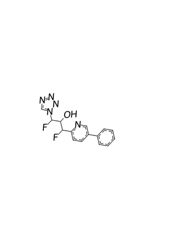 OC(C(F)c1ccc(-c2ccccc2)cn1)C(F)n1cnnn1